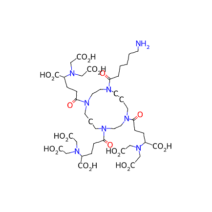 NCCCCCC(=O)N1CCCN(C(=O)CCC(C(=O)O)N(CC(=O)O)CC(=O)O)CCN(C(=O)CCC(C(=O)O)N(CC(=O)O)CC(=O)O)CCCN(C(=O)CCC(C(=O)O)N(CC(=O)O)CC(=O)O)CC1